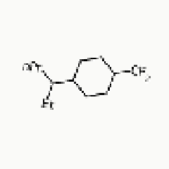 CCCC(CC)C1CCC(C(F)(F)F)CC1